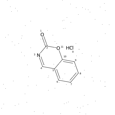 Cl.O=c1ncc2ccccc2o1